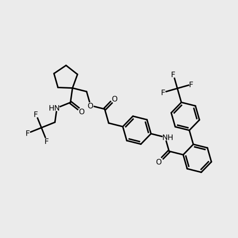 O=C(Cc1ccc(NC(=O)c2ccccc2-c2ccc(C(F)(F)F)cc2)cc1)OCC1(C(=O)NCC(F)(F)F)CCCC1